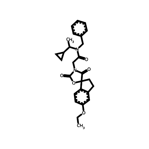 CCOc1ccc2c(c1)CCC21OC(=O)N(CC(=O)N(Cc2ccccc2)C(C)C2CC2)C1=O